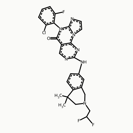 CC1(C)CN(CC(F)F)Cc2cc(Nc3ncc4c(=O)n(-c5c(F)cccc5Cl)c5nccn5c4n3)ccc21